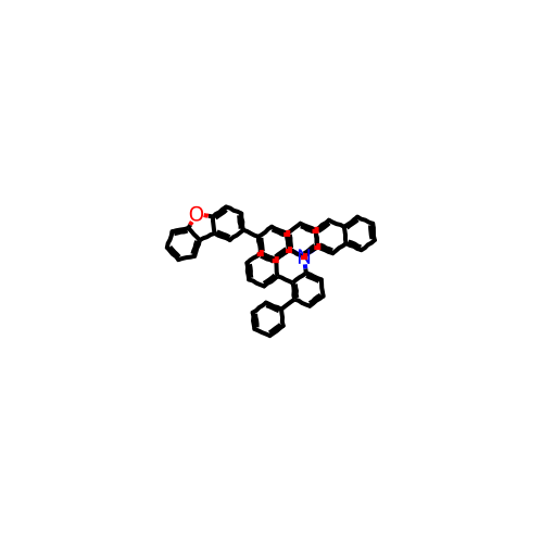 c1ccc(-c2ccccc2-c2c(-c3ccccc3)cccc2N(c2ccc(-c3ccc4oc5ccccc5c4c3)cc2)c2ccc3ccccc3c2)cc1